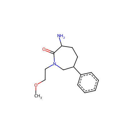 COCCN1CC(c2ccccc2)CCC(N)C1=O